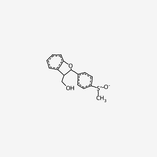 C[S+]([O-])c1ccc(C2Oc3ccccc3C2CO)cc1